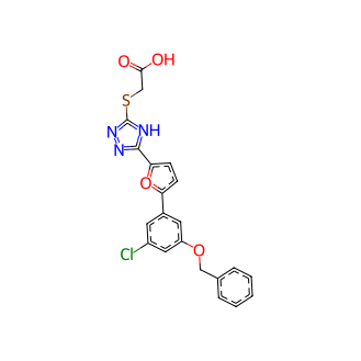 O=C(O)CSc1nnc(-c2ccc(-c3cc(Cl)cc(OCc4ccccc4)c3)o2)[nH]1